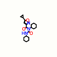 O=C(NC1CCCCC1)N(C(=O)c1cc(C2CC2)on1)C1CCCCC1